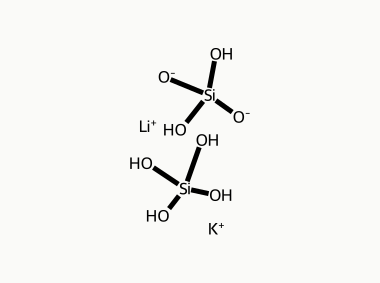 O[Si](O)(O)O.[K+].[Li+].[O-][Si]([O-])(O)O